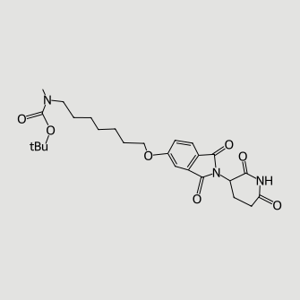 CN(CCCCCCCOc1ccc2c(c1)C(=O)N(C1CCC(=O)NC1=O)C2=O)C(=O)OC(C)(C)C